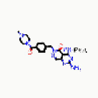 CCC[C@@H](C)Nc1nc(N)nc2cnn(Cc3ccc(C(=O)N4CCN(C)CC4)cc3)c(=O)c12